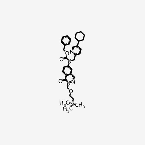 C[Si](C)(C)CCOCn1ncc2cc(N(Cc3ccc(C4CCCCC4)cn3)C(=O)OCc3ccccc3)ccc2c1=O